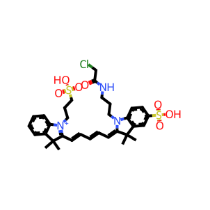 CC1(C)C(/C=C/C=C/C=C2\N(CCCNC(=O)CCl)c3ccc(S(=O)(=O)O)cc3C2(C)C)=[N+](CCCS(=O)(=O)O)c2ccccc21